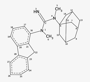 CN(C(=N)N(C)C12CC3CC(CC(C3)C1)C2)c1cccc2c1Cc1ccccc1-2